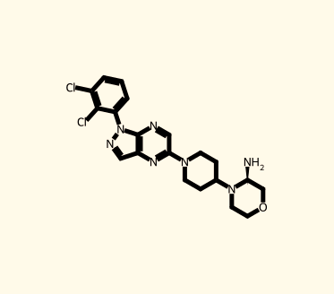 N[C@H]1COCCN1C1CCN(c2cnc3c(cnn3-c3cccc(Cl)c3Cl)n2)CC1